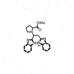 COC(=O)C1CCCN1C(Cc1nc2ccccc2[nH]1)c1nc2ccccc2[nH]1